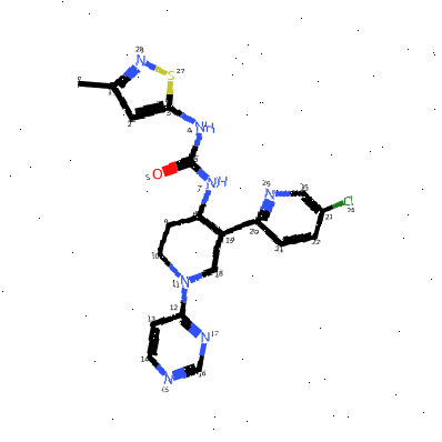 Cc1cc(NC(=O)NC2CCN(c3ccncn3)CC2c2ccc(Cl)cn2)sn1